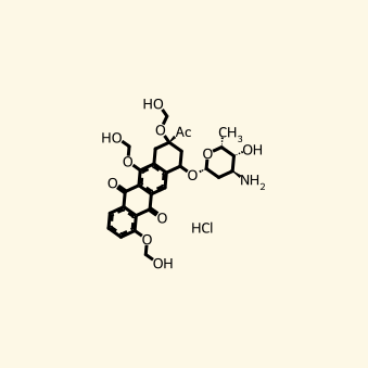 CC(=O)[C@]1(OCO)Cc2c(cc3c(c2OCO)C(=O)c2cccc(OCO)c2C3=O)C(O[C@H]2C[C@H](N)[C@@H](O)[C@@H](C)O2)C1.Cl